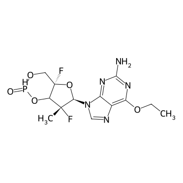 CCOc1nc(N)nc2c1ncn2[C@@H]1O[C@]2(F)CO[PH](=O)OC2[C@@]1(C)F